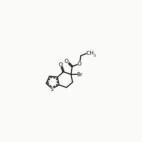 CCOC(=O)C1(Br)CCc2sccc2C1=O